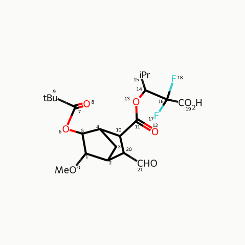 COC1C2CC(C1OC(=O)C(C)(C)C)C(C(=O)OC(C(C)C)C(F)(F)C(=O)O)C2C=O